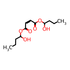 CCCC(O)OC(=O)/C=C\C(=O)OC(O)CCC